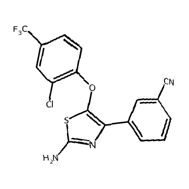 N#Cc1cccc(-c2nc(N)sc2Oc2ccc(C(F)(F)F)cc2Cl)c1